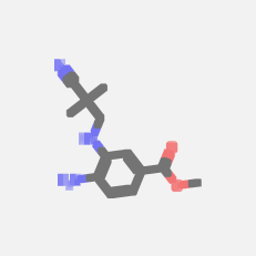 COC(=O)c1ccc(N)c(NCC(C)(C)C#N)c1